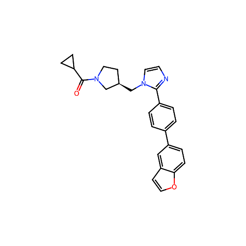 O=C(C1CC1)N1CC[C@@H](Cn2ccnc2-c2ccc(-c3ccc4occc4c3)cc2)C1